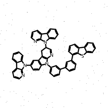 C1=Nc2c(c3cc(-n4c5ccccc5c5cccnc54)ccc3n2-c2cccc(-c3cccc(-c4cccc5c4sc4ccccc45)c3)c2)CC1n1c2ccccc2c2cccnc21